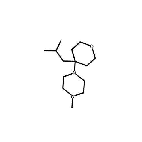 CC(C)CC1(N2CCN(C)CC2)CCOCC1